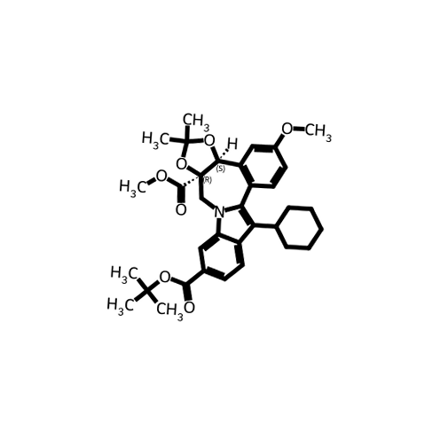 COC(=O)[C@@]12Cn3c(c(C4CCCCC4)c4ccc(C(=O)OC(C)(C)C)cc43)-c3ccc(OC)cc3[C@@H]1OC(C)(C)O2